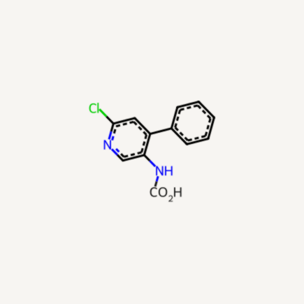 O=C(O)Nc1cnc(Cl)cc1-c1ccccc1